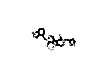 Cn1c2cnn(Cc3ccns3)c(=O)c2c2cnn(Cc3cccc4[nH]ncc34)c(=O)c21